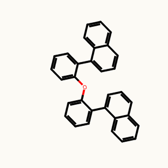 c1ccc(-c2cccc3ccccc23)c(Oc2ccccc2-c2cccc3ccccc23)c1